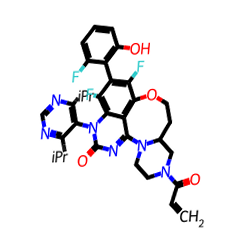 C=CC(=O)N1CCN2c3nc(=O)n(-c4c(C(C)C)ncnc4C(C)C)c4c(F)c(-c5c(O)cccc5F)c(F)c(c34)OCCC2C1